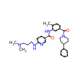 Cc1ccc(C(=O)N2CCC(c3ccccc3)CC2)cc1NC(=O)c1ccc(NCCCN(C)C)nc1